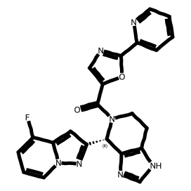 O=C(c1cnc(-c2ccccn2)o1)N1CCc2[nH]cnc2[C@@H]1c1cc2c(F)cccn2n1